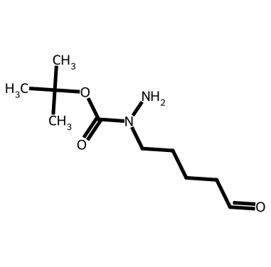 CC(C)(C)OC(=O)N(N)CCCCC=O